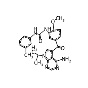 COc1ccc(C(=O)c2cn(C(C)C)c3ncnc(N)c23)cc1NC(=O)Nc1cccc(C)c1